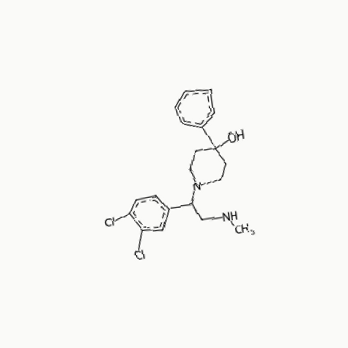 CNCC(c1ccc(Cl)c(Cl)c1)N1CCC(O)(c2ccccc2)CC1